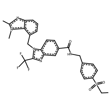 CCS(=O)(=O)c1ccc(CNC(=O)c2ccc3c(c2)nc(C(F)(F)F)n3Cc2cccc3nc(C)n(C)c23)cc1